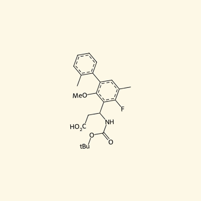 COc1c(-c2ccccc2C)cc(C)c(F)c1C(CC(=O)O)NC(=O)OC(C)(C)C